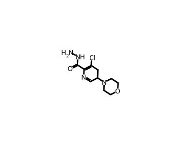 NNC(=O)C1=C(Cl)CC(N2CCOCC2)C=N1